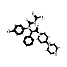 O=C(C(c1ccccc1)N(C(=O)OC(=O)C(F)(F)F)c1ccc(Cl)cc1)N1CCC(N2CCOCC2)CC1